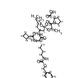 CCCC[C@@H](CP(=O)(OC)O[C@@H](C)C(=O)N1CCC[C@H]1C(=O)O)NC(=O)[C@H](CCCCNC(=O)OCc1ccccc1)NC(=O)C1CCC1